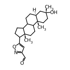 C[C@@]1(O)CC[C@]2(C)C3CC[C@]4(C)C(c5cc(C=O)no5)CCC4C3CC[C@H]2C1